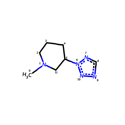 CN1CCCC(n2ncnn2)C1